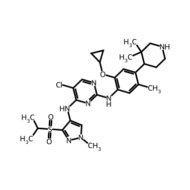 Cc1cc(Nc2ncc(Cl)c(Nc3cn(C)nc3S(=O)(=O)C(C)C)n2)c(OC2CC2)cc1C1CCNCC1(C)C